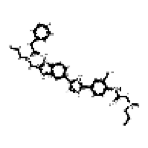 CCCN(C)CC(=O)Nc1ccc(-c2ncc(-c3ccc4nc(CN(CCC)C(=O)Cc5ccccc5)[nH]c4c3)o2)cc1F